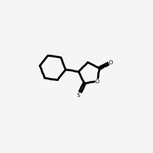 O=C1CC(C2CCCCC2)C(=S)O1